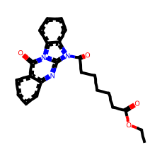 CCOC(=O)CCCCCC(=O)n1c2ccccc2n2c(=O)c3ccccc3nc12